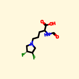 O=CNC(CCCN1C[C@@H](F)[C@H](F)C1)C(=O)O